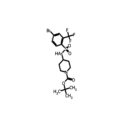 CC(C)(C)OC(=O)N1CCC([AsH]S(=O)(=O)c2ccc(Br)cc2C(F)(F)F)CC1